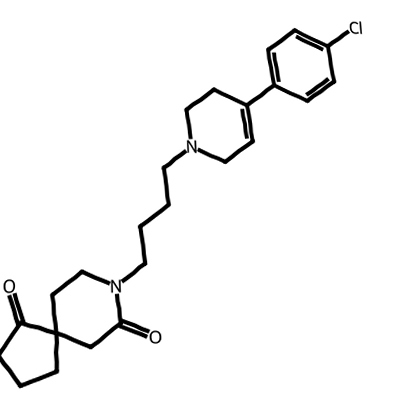 O=C1CC2(CCCC2=O)CCN1CCCCN1CC=C(c2ccc(Cl)cc2)CC1